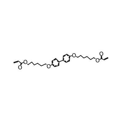 C=CC(=O)OCCCCCCOc1ccc(-c2ccc(OCCCCCCOC(=O)C=C)cc2)cc1